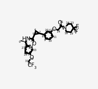 C[C@@H](NC(=O)C1CC1c1cccc(OCC(=O)N2CCC(F)(F)CC2)c1)c1ccc(OCC(F)(F)F)cn1